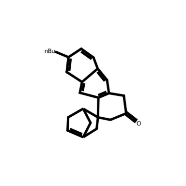 CCCCc1ccc2cc3c(cc2c1)C1(CC(=O)C3)CC2=CCC1C2